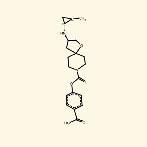 C[C@@H]1C[C@H]1NC1COC2(CCN(C(=O)Oc3ccc(C(=O)O)cc3)CC2)C1